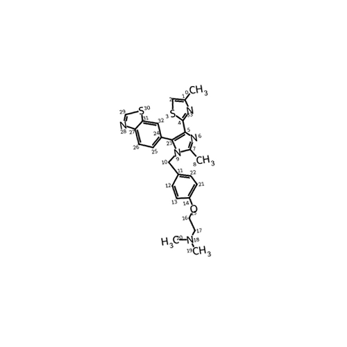 Cc1csc(-c2nc(C)n(Cc3ccc(OCCN(C)C)cc3)c2-c2ccc3ncsc3c2)n1